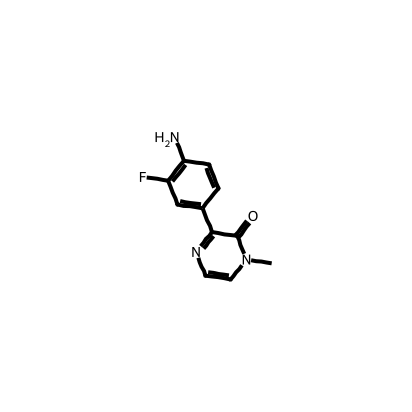 Cn1ccnc(-c2ccc(N)c(F)c2)c1=O